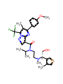 COc1ccc(-c2nc3c(C(=O)N(CCN(C)[C@H](CO)c4cscc4C)C(C)C)cnn3c(C(F)(F)F)c2C)cc1